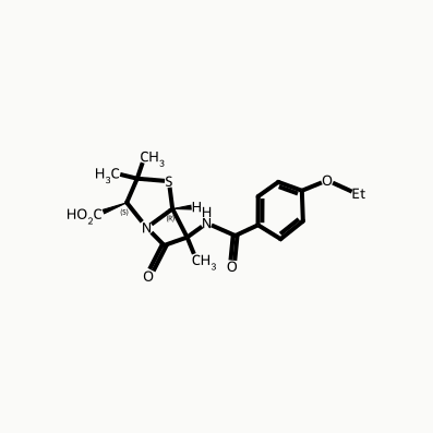 CCOc1ccc(C(=O)NC2(C)C(=O)N3[C@@H](C(=O)O)C(C)(C)S[C@@H]32)cc1